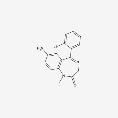 CN1C(=O)CN=C(c2ccccc2Cl)c2cc(N)ccc21